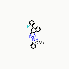 COc1ccccc1CNc1ncc2c(n1)-c1ccccc1C(c1ccccc1F)C2